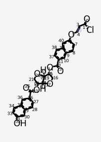 O=C(Cl)/C=C/Oc1ccc2cc(C(=O)O[C@@H]3CO[C@H]4[C@@H]3OC[C@@H]4OC(=O)c3ccc4cc(O)ccc4c3)ccc2c1